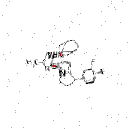 Cc1nsc(N2CC3CCC(C2)C3Nc2nc3n(n2)CCCC3c2ccc(F)c(F)c2)n1